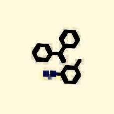 C=C(c1ccccc1)c1ccccc1.Cc1cccc(N)c1